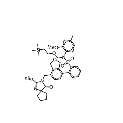 CCCCC1=NC2(CCCC2)C(=O)N1Cc1ccc(-c2ccccc2S(=O)(=O)N(COCC[Si](C)(C)C)c2ncc(C)nc2OC)c2c1COC2